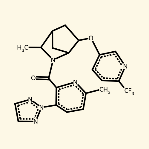 Cc1ccc(-n2nccn2)c(C(=O)N2C(C)C3CC(Oc4ccc(C(F)(F)F)nc4)C2C3)n1